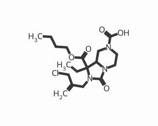 C=C(CCl)CN1C(=O)N2CCN(C(=O)O)CC2C1(CC)C(=O)OCCCC